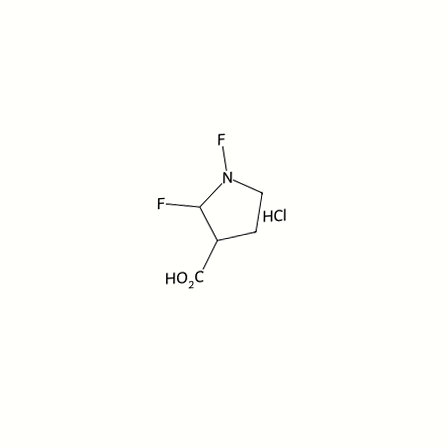 Cl.O=C(O)C1CCN(F)C1F